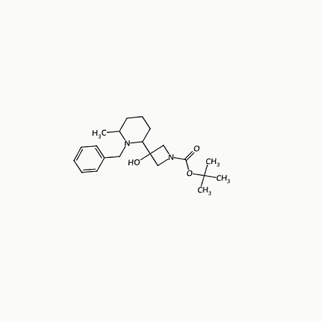 CC1CCCC(C2(O)CN(C(=O)OC(C)(C)C)C2)N1Cc1ccccc1